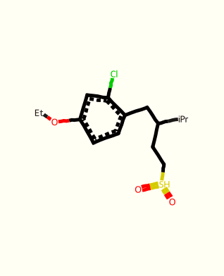 [CH2]C(C)C(CC[SH](=O)=O)Cc1ccc(OCC)cc1Cl